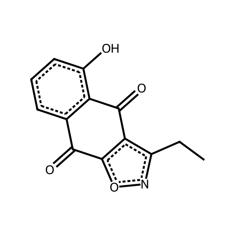 CCc1noc2c1C(=O)c1c(O)cccc1C2=O